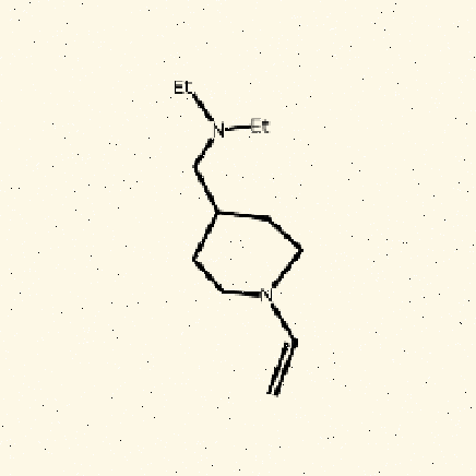 C=CN1CCC(CN(CC)CC)CC1